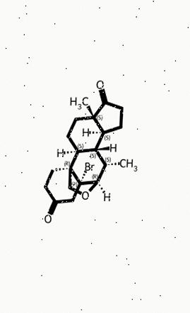 C[C@H]1[C@@H]2[C@H](CC[C@]3(C)C(=O)CC[C@@H]23)[C@@]23CCC(=O)C[C@]2(Br)[C@@H]1OC3